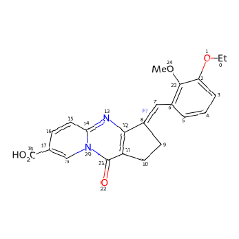 CCOc1cccc(/C=C2\CCc3c2nc2ccc(C(=O)O)cn2c3=O)c1OC